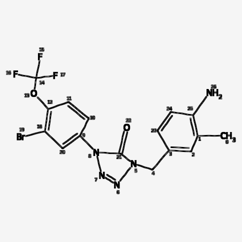 Cc1cc(Cn2nnn(-c3ccc(OC(F)(F)F)c(Br)c3)c2=O)ccc1N